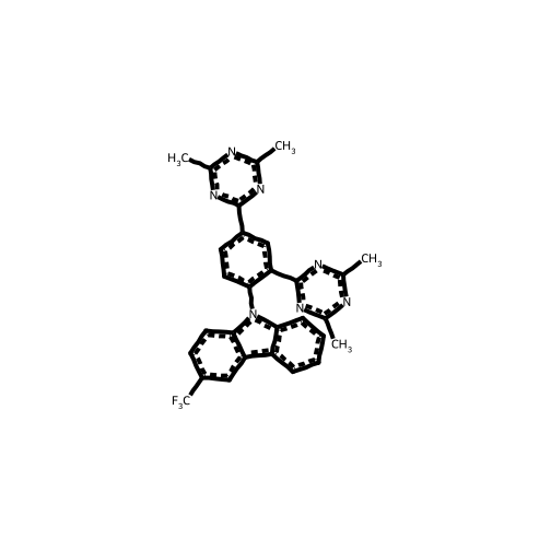 Cc1nc(C)nc(-c2ccc(-n3c4ccccc4c4cc(C(F)(F)F)ccc43)c(-c3nc(C)nc(C)n3)c2)n1